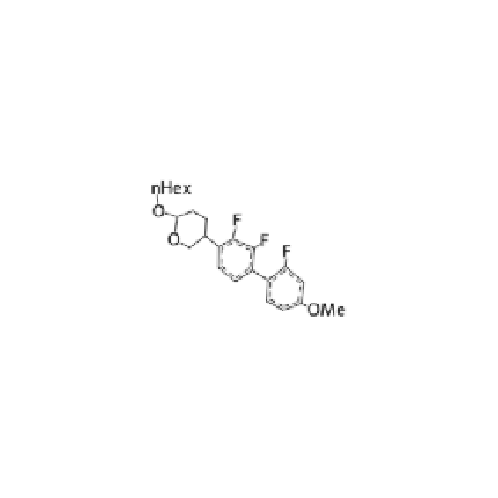 CCCCCCOC1CCC(c2ccc(-c3ccc(OC)cc3F)c(F)c2F)CO1